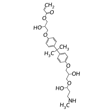 C=CC(=O)OCC(O)COc1ccc(C(C)(C)c2ccc(OCC(O)COC(O)CCNC)cc2)cc1